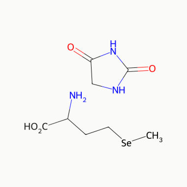 C[Se]CCC(N)C(=O)O.O=C1CNC(=O)N1